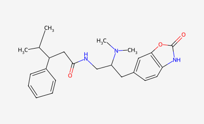 CC(C)C(CC(=O)NCC(Cc1ccc2[nH]c(=O)oc2c1)N(C)C)c1ccccc1